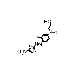 CCN(CCO)c1ccc(N=Nc2ncc([N+](=O)[O-])s2)c(C)c1